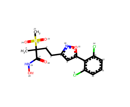 CC(CCc1cc(-c2c(Cl)cccc2Cl)on1)(C(=O)NO)S(C)(=O)=O